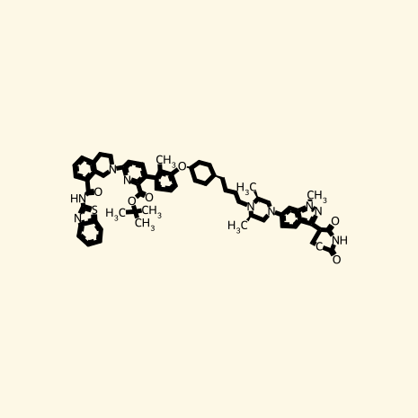 Cc1c(O[C@H]2CC[C@H](CCCCN3[C@H](C)CN(c4ccc5c(C6CCC(=O)NC6=O)nn(C)c5c4)C[C@@H]3C)CC2)cccc1-c1ccc(N2CCc3cccc(C(=O)Nc4nc5ccccc5s4)c3C2)nc1C(=O)OC(C)(C)C